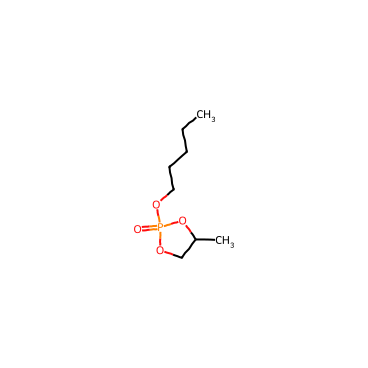 CCCCCOP1(=O)OCC(C)O1